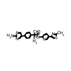 Cc1nc(-c2ccc(NC(=O)C(C)(C)c3ccc(-c4cnc(N)nc4)cc3)nc2)cs1